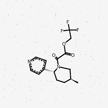 C[C@H]1CC[C@H](c2ccncc2)N(C(=O)C(=O)OCC(F)(F)F)C1